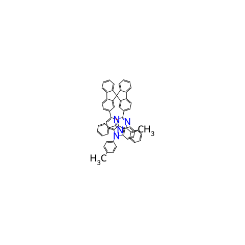 Cc1ccc(N2C3=CC=C(c4ccc5c(c4)C4(c6ccccc6-5)c5ccccc5-c5ccc(-c6nc(-c7ccccc7)nc(-c7ccccc7)n6)cc54)CC3c3cc(C)ccc32)cc1